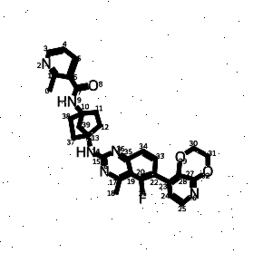 Cc1ncccc1C(=O)NC12CCC(Nc3nc(C)c4c(F)c(-c5ccnc6c5OCCO6)ccc4n3)(CC1)C2